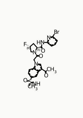 CC(=O)c1cn(CC(=O)N2C[C@H](F)C[C@H]2C(=O)Nc2cccc(Br)n2)c2ccc(S(C)(=N)=O)cc12